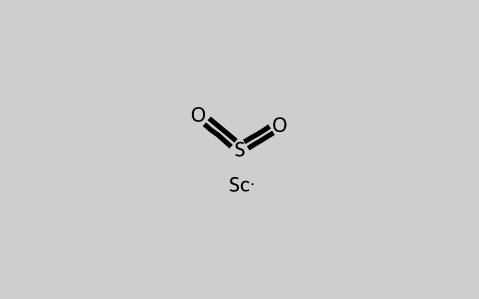 O=S=O.[Sc]